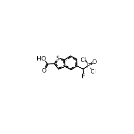 O=C(O)c1cc2cc(C(F)P(=O)(Cl)Cl)ccc2s1